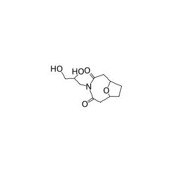 O=C1CC2CCC(CC(=O)N1CC(O)CO)O2